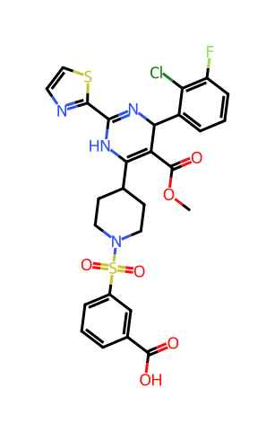 COC(=O)C1=C(C2CCN(S(=O)(=O)c3cccc(C(=O)O)c3)CC2)NC(c2nccs2)=NC1c1cccc(F)c1Cl